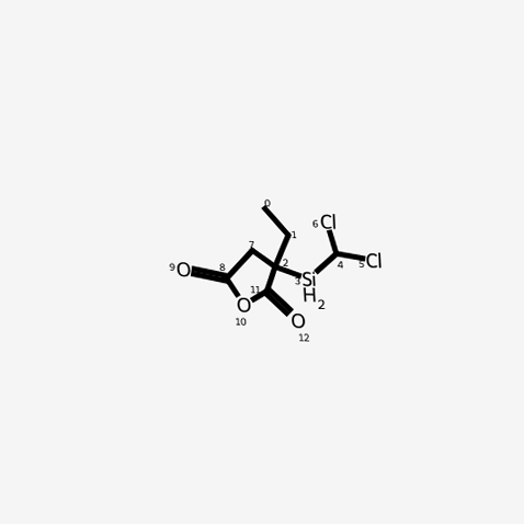 CCC1([SiH2]C(Cl)Cl)CC(=O)OC1=O